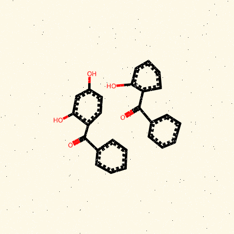 O=C(c1ccccc1)c1ccc(O)cc1O.O=C(c1ccccc1)c1ccccc1O